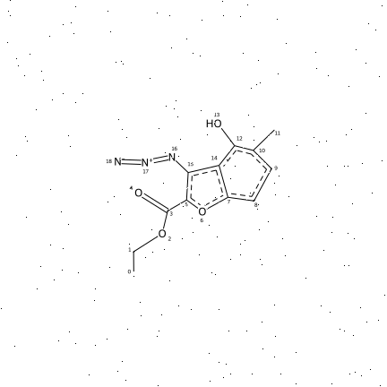 CCOC(=O)c1oc2ccc(C)c(O)c2c1N=[N+]=[N-]